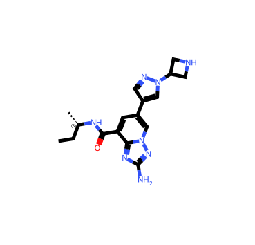 CC[C@H](C)NC(=O)c1cc(-c2cnn(C3CNC3)c2)cn2nc(N)nc12